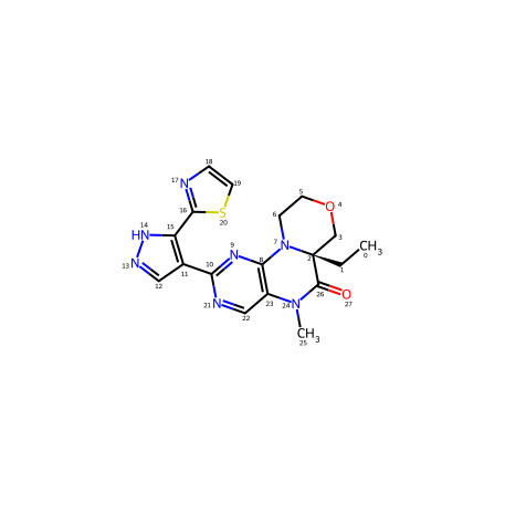 CC[C@]12COCCN1c1nc(-c3cn[nH]c3-c3nccs3)ncc1N(C)C2=O